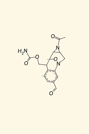 CC(=O)N1C2CN3O[C](C(COC(N)=O)c4[c]cc(C=O)cc43)C21